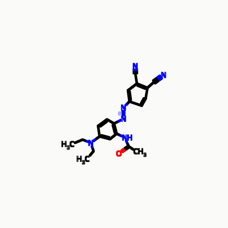 CCN(CC)c1ccc(/N=N/c2ccc(C#N)c(C#N)c2)c(NC(C)=O)c1